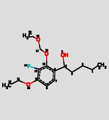 CCCCC(O)c1ccc(OCC)c(F)c1OCOC